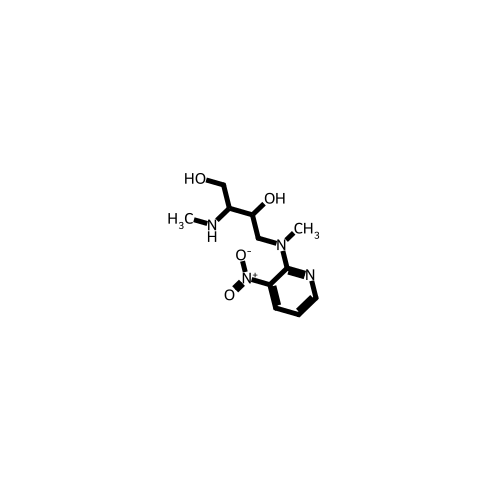 CNC(CO)C(O)CN(C)c1ncccc1[N+](=O)[O-]